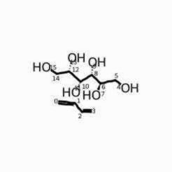 C=CC=C.OC[C@@H](O)[C@@H](O)[C@H](O)[C@@H](O)CO